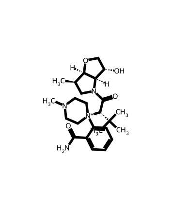 C[C@@H]1CN(C(=O)[C@H](C(C)(C)C)[N+]2(c3ccccc3C(N)=O)CCN(C)CC2)[C@H]2[C@@H]1OC[C@@H]2O